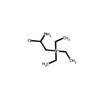 CC[N+](CC)(CC)CC(N)Cl